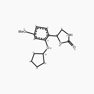 COc1ccc(C2CNC(=O)O2)c(OC2CCCC2)c1